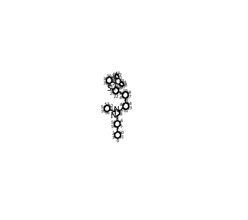 c1ccc(-c2ccc(-c3cc(-c4cccc(-c5cccc(-c6ccc7c(c6)C6(c8ccccc8S7)c7ccccc7-c7ccccc76)c5)c4)nc(-c4ccccc4)n3)cc2)cc1